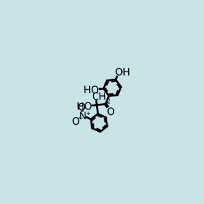 [CH2]C(O)(C(=O)c1ccc(O)cc1O)c1ccccc1[N+](=O)[O-]